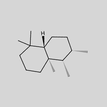 C[C@H]1CC[C@H]2C(C)(C)CCC[C@]2(C)[C@H]1C